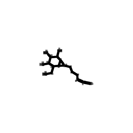 [N-]=[N+]=NCCCN1C2C(O)C(O)C(O)C(CO)C21